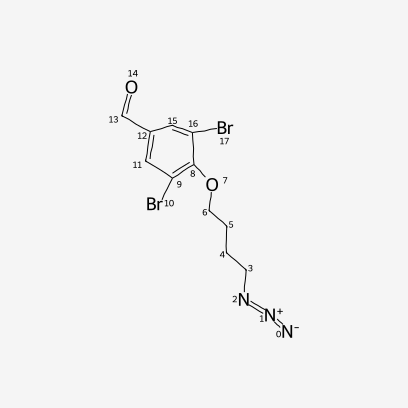 [N-]=[N+]=NCCCCOc1c(Br)cc(C=O)cc1Br